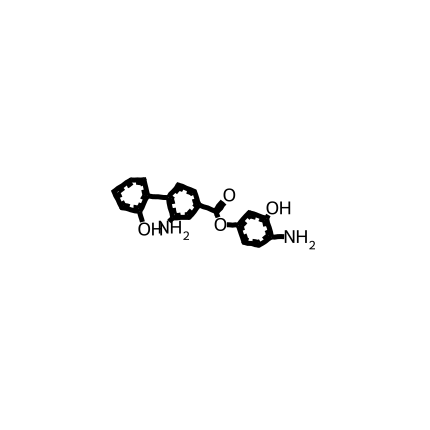 Nc1ccc(OC(=O)c2ccc(-c3ccccc3O)c(N)c2)cc1O